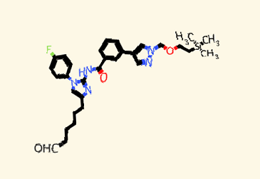 C[Si](C)(C)CCOCn1cc(-c2cccc(C(=O)Nc3nc(CCCCCC=O)cn3-c3ccc(F)cc3)c2)cn1